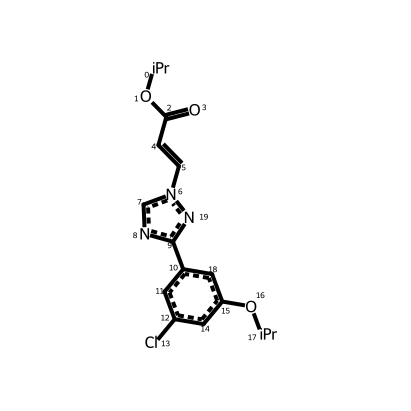 CC(C)OC(=O)/C=C/n1cnc(-c2cc(Cl)cc(OC(C)C)c2)n1